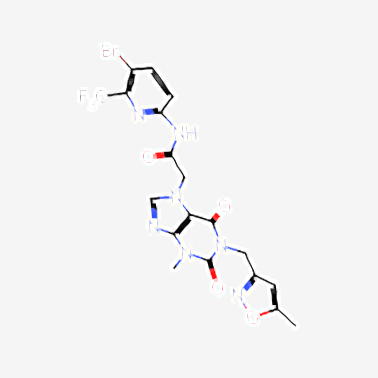 Cc1cc(Cn2c(=O)c3c(ncn3CC(=O)Nc3ccc(Br)c(C(F)(F)F)n3)n(C)c2=O)no1